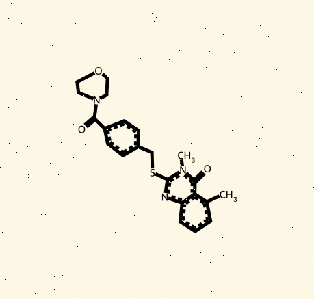 Cc1cccc2nc(SCc3ccc(C(=O)N4CCOCC4)cc3)n(C)c(=O)c12